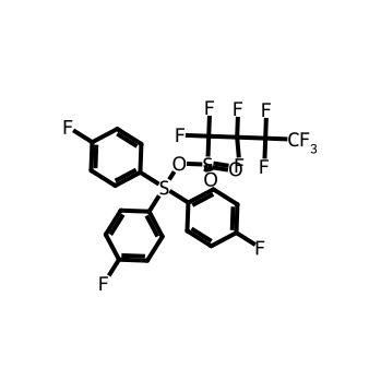 O=S(=O)(OS(c1ccc(F)cc1)(c1ccc(F)cc1)c1ccc(F)cc1)C(F)(F)C(F)(F)C(F)(F)C(F)(F)F